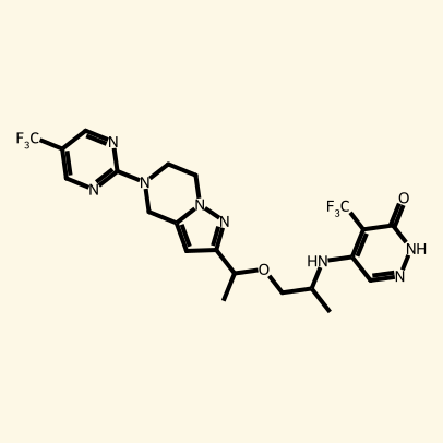 CC(COC(C)c1cc2n(n1)CCN(c1ncc(C(F)(F)F)cn1)C2)Nc1cn[nH]c(=O)c1C(F)(F)F